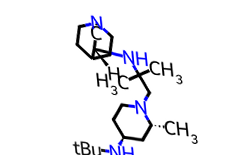 C[C@@H]1C[C@@H](NC(C)(C)C)CCN1CC(C)(C)N[C@H]1CN2CCC1CC2